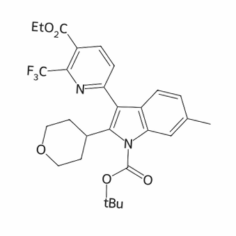 CCOC(=O)c1ccc(-c2c(C3CCOCC3)n(C(=O)OC(C)(C)C)c3cc(C)ccc23)nc1C(F)(F)F